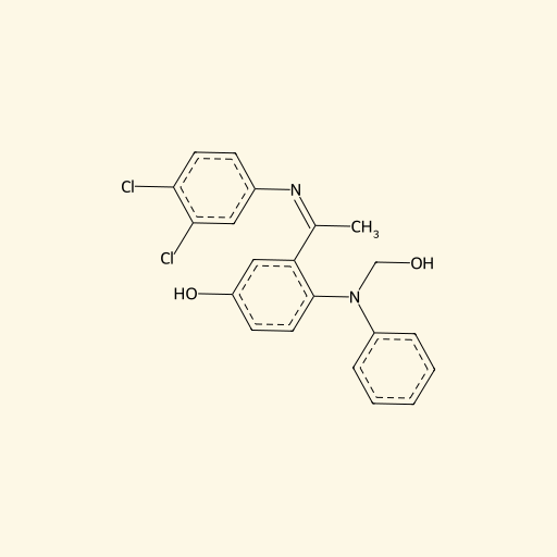 CC(=Nc1ccc(Cl)c(Cl)c1)c1cc(O)ccc1N(CO)c1ccccc1